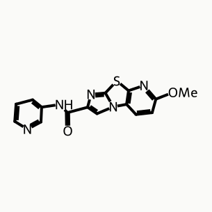 COc1ccc2c(n1)sc1nc(C(=O)Nc3cccnc3)cn12